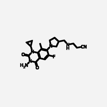 Cc1c(N2CCC(CNCCC#N)C2)c(F)cc2c(=O)n(N)c(=O)n(C3CC3)c12